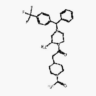 CC(=O)N1CCC(CC(=O)N2CCN(C(c3ccccc3)c3ccc(C(F)(F)F)cc3)CC2C)CC1